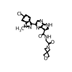 Cn1nc(-c2cnc3[nH]cc(C(=O)NCC(=O)N4CC5(COC5)C4)c3n2)c2ccc(Cl)cc21